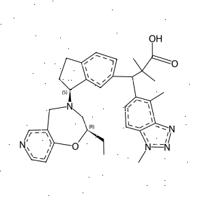 CC[C@@H]1CN([C@H]2CCc3ccc(C(c4ccc5c(nnn5C)c4C)C(C)(C)C(=O)O)cc32)Cc2cnccc2O1